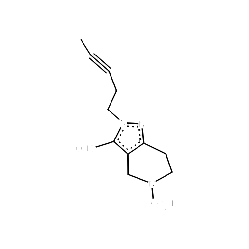 CC#CCCn1nc2c(c1C=O)CN(C(=O)O)CC2